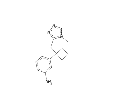 Cn1cnnc1CC1(c2cccc(N)c2)CCC1